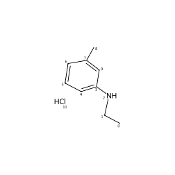 CCNc1cccc(C)c1.Cl